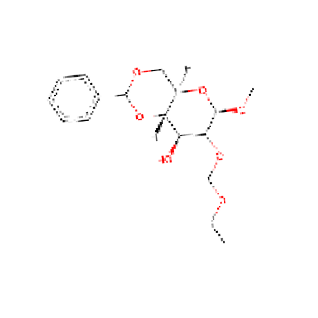 CCOCO[C@H]1[C@H](OC)O[C@@H]2COC(c3ccccc3)O[C@H]2[C@@H]1O